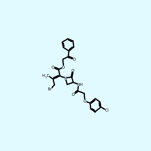 C/C(CBr)=C(\C(=O)OCC(=O)c1ccccc1)N1CC(NC(=O)COc2ccc(Cl)cc2)C1=O